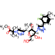 COC(=O)C(C)(C)n1cc(C[C@H]2O[C@H](CO)[C@H](O)[C@H](n3cc(-c4ccc(C)c(F)c4F)nn3)[C@H]2OC)nn1